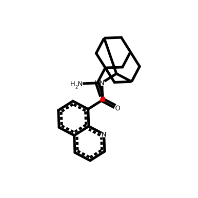 NC(=O)C12CC3CC(C1)C(NC(=O)c1cccc4cccnc14)C(C3)C2